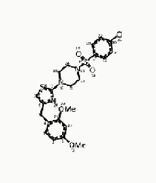 COc1ccc(Cc2csc(N3CCN(S(=O)(=O)c4ccc(Cl)cc4)CC3)n2)c(OC)c1